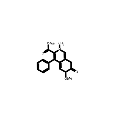 COC(=O)C1=C(c2ccccc2)C2=CC(OC)C(=O)CC2=CN1C